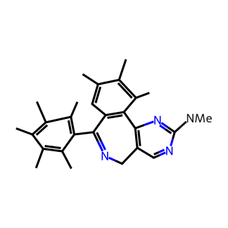 CNc1ncc2c(n1)-c1c(cc(C)c(C)c1C)C(c1c(C)c(C)c(C)c(C)c1C)=NC2